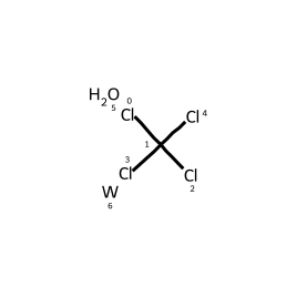 ClC(Cl)(Cl)Cl.O.[W]